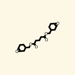 O=C(CCCC(=O)OCC1CCC2OC2C1)OCC1CCC2OC2C1